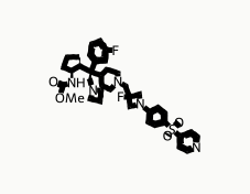 COC(=O)N[C@H]1CCC[C@@H]1[C@](CN1CCC1)(c1cccc(F)c1)C1CCN(CC2(F)CN(c3ccc(S(=O)(=O)c4ccncc4)cc3)C2)CC1